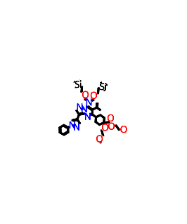 C=C(C)c1c(C2CCC(OCCOC)(C(=O)OCCOC)CC2)nc2c(-c3cnn(-c4ccccc4)c3)cnn2c1N(COCC[Si](C)(C)C)COCC[Si](C)(C)C